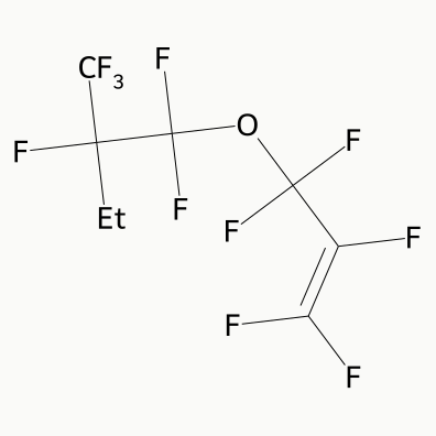 CCC(F)(C(F)(F)F)C(F)(F)OC(F)(F)C(F)=C(F)F